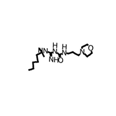 CCCCCC(C)(C)NC(=N)NC(=O)NCCCN1CCOCC1